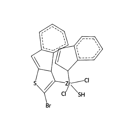 [SH][Zr]([Cl])([Cl])([C]1=C(Br)SC2=Cc3ccccc3C21)[CH]1C=Cc2ccccc21